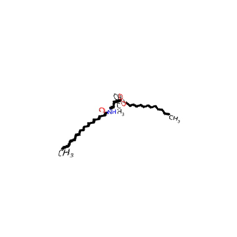 CCCCCCCCCCCCCCCCCC(=O)NCCCC(C)(C)C(=O)OCCCCCCCCCCCCCC